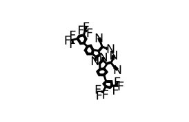 N#CC(C#N)=C1c2cc(-c3cc(C(F)(F)F)cc(C(F)(F)F)c3)ccc2-c2nc3c(nc21)C(=C(C#N)C#N)c1cc(-c2cc(C(F)(F)F)cc(C(F)(F)F)c2)ccc1-3